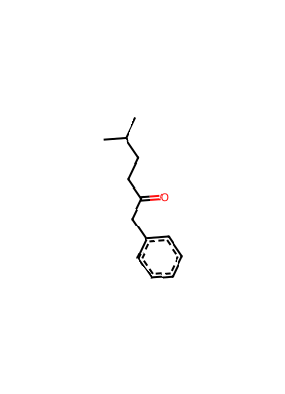 CC(C)CCC(=O)Cc1ccccc1